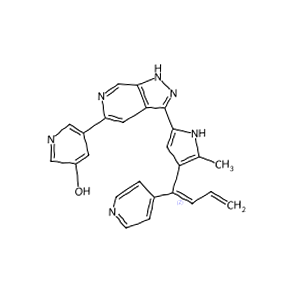 C=C/C=C(/c1ccncc1)c1cc(-c2n[nH]c3cnc(-c4cncc(O)c4)cc23)[nH]c1C